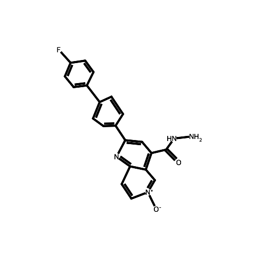 NNC(=O)c1cc(-c2ccc(-c3ccc(F)cc3)cc2)nc2cc[n+]([O-])cc12